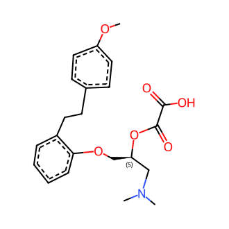 COc1ccc(CCc2ccccc2OC[C@H](CN(C)C)OC(=O)C(=O)O)cc1